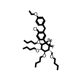 CCCCOC[C@@H]1[C@@H](OCCCC)[C@H](OCCCC)C(OCCCC)C(Br)(c2ccc(Cl)c(Cc3ccc(OCC)cc3)c2)C1(F)F